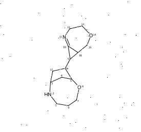 C1CNC2CC(OC1)C(C1C3=NCCOCC31)C2